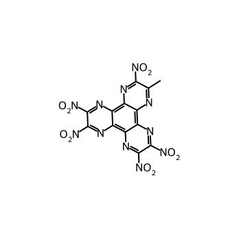 Cc1nc2c(nc1[N+](=O)[O-])c1nc([N+](=O)[O-])c([N+](=O)[O-])nc1c1nc([N+](=O)[O-])c([N+](=O)[O-])nc21